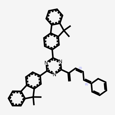 C=C(/C=C\C=C1\C=CC=CC1)c1nc(-c2ccc3c(c2)C(C)(C)c2ccccc2-3)nc(-c2ccc3c(c2)C(C)(C)c2ccccc2-3)n1